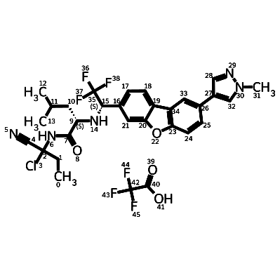 CCC(Cl)(C#N)NC(=O)[C@H](CC(C)C)N[C@@H](c1ccc2c(c1)oc1ccc(-c3cnn(C)c3)cc12)C(F)(F)F.O=C(O)C(F)(F)F